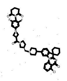 O=C(C1CN(c2cc(F)c(N3C(=O)CCCC3=O)c(F)c2)C1)N1CC[C@@H](CN2CCC(c3ccc4c(c3)-n3c(nc(=O)c5c(Cl)cccc53)C43CCCCC3)CC2)C1